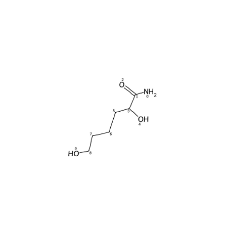 NC(=O)C(O)CCCCO